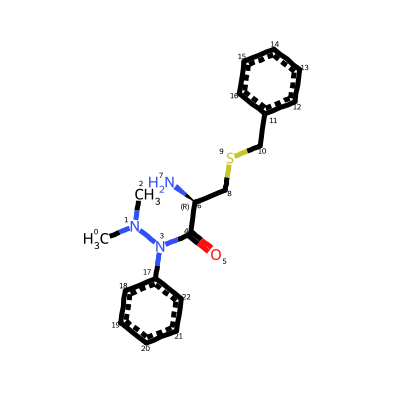 CN(C)N(C(=O)[C@@H](N)CSCc1ccccc1)c1ccccc1